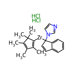 CC1=C(C)C(C)(C)[C]([Zr][C]2(n3ccnc3)C=Cc3ccccc32)=C1C.Cl.Cl